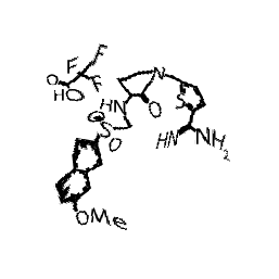 COc1ccc2ccc(S(=O)(=O)CNC3CCN(Cc4ccc(C(=N)N)s4)C3=O)cc2c1.O=C(O)C(F)(F)F